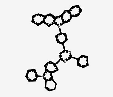 C1=Cc2c(c3cc(-c4nc(-c5ccccc5)nc(-c5ccc(-n6c7cc8ccccc8cc7c7cc8ccccc8cc76)cc5)n4)ccc3n2-c2ccccc2)CC1